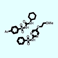 CC(=O)c1ccc(S(=O)(=O)NC(=O)NC2CCCCC2)cc1.COCCOc1cnc(NS(=O)(=O)c2ccccc2)nc1